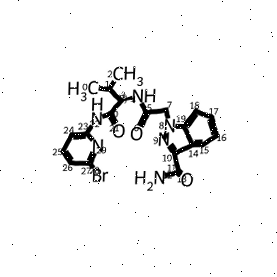 CC(C)[C@@H](NC(=O)Cn1nc(C(N)=O)c2ccccc21)C(=O)Nc1cccc(Br)n1